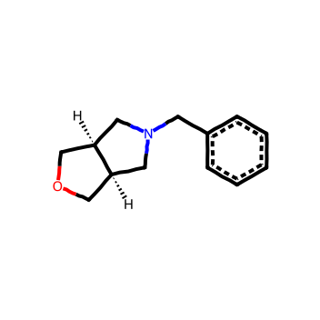 c1ccc(CN2C[C@H]3COC[C@H]3C2)cc1